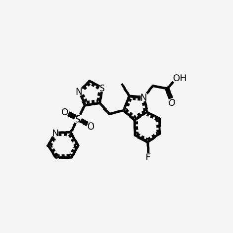 Cc1c(Cc2scnc2S(=O)(=O)c2ccccn2)c2cc(F)ccc2n1CC(=O)O